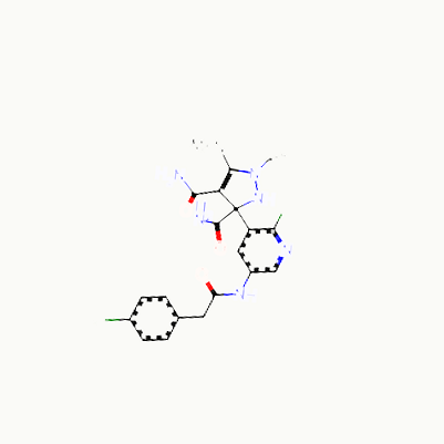 CNC1=C(C(N)=O)C(C(N)=O)(c2cc(NC(=O)Cc3ccc(Cl)cc3)cnc2F)NN1C(C)C